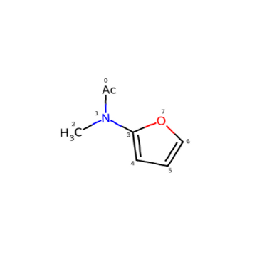 CC(=O)N(C)c1ccco1